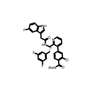 CNC(=O)c1ccc(-c2cccnc2[C@H](Cc2cc(F)cc(F)c2)NC(=O)Cc2c[nH]c3ccc(F)cc23)cc1Cl